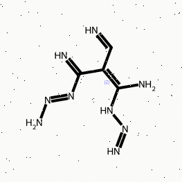 N=C/C(C(=N)N=NN)=C(\N)NN=N